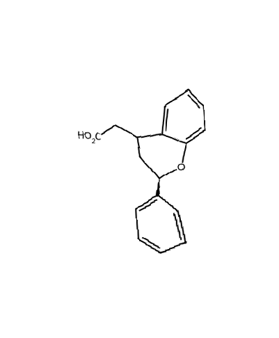 O=C(O)CC1C[C@H](c2ccccc2)Oc2ccccc21